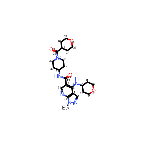 CCn1ncc2c(NC3CCOCC3)c(C(=O)NC3CCN(C(=O)C4CCOCC4)CC3)cnc21